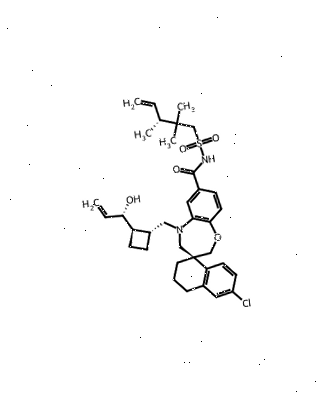 C=C[C@@H](C)C(C)(C)CS(=O)(=O)NC(=O)c1ccc2c(c1)N(C[C@@H]1CC[C@H]1[C@@H](O)C=C)C[C@@]1(CCCc3cc(Cl)ccc31)CO2